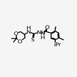 Cc1cc(C)c(C(C)C)cc1C(=O)NNC(=S)NC1COC(C)(C)OC1